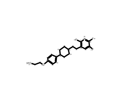 CCCOc1ccc(C2CCC(CCc3cc(F)c(F)nc3F)CC2)cc1